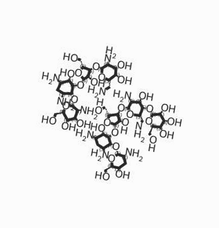 NC[C@@H]1O[C@H](O[C@H]2[C@@H](O)[C@H](O[C@@H]3[C@@H](O)[C@H](N)C[C@H](N)[C@H]3O[C@H]3O[C@H](CO)[C@@H](O)C[C@H]3N)O[C@@H]2CO)[C@H](N)[C@@H](O)[C@@H]1O[C@H]1O[C@H](CO)[C@@H](O)[C@H](O)[C@@H]1O.NC[C@@H]1O[C@H](O[C@H]2[C@@H](O)[C@H](O[C@@H]3[C@@H](O)[C@H](N)C[C@H](N)[C@H]3O[C@H]3O[C@H](CO)[C@@H](O)[C@H](O)[C@H]3N)O[C@@H]2CO)[C@H](N)[C@@H](O)[C@@H]1O